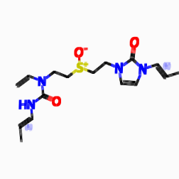 C=CN(CC[S+]([O-])CCn1ccn(/C=C/C)c1=O)C(=O)N/C=C/C